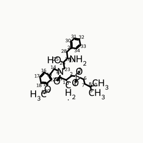 [CH2][C@H](CS(=O)(=O)CCC(C)C)C(=O)N(Cc1cccc(OC)c1)C[C@@H](O)[C@@H](N)Cc1ccccc1